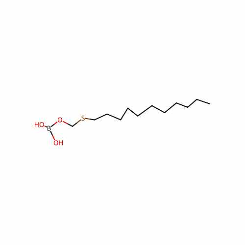 CCCCCCCCCCCSCOB(O)O